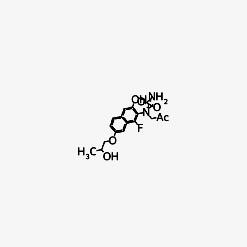 CC(=O)CN(c1c(O)cc2ccc(OCC(C)O)cc2c1F)S(N)(=O)=O